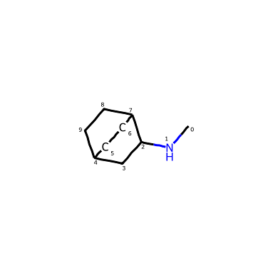 CNC1CC2CCC1CC2